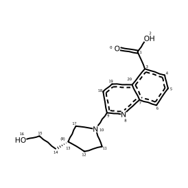 O=C(O)c1cccc2nc(N3CC[C@H](CCO)C3)ccc12